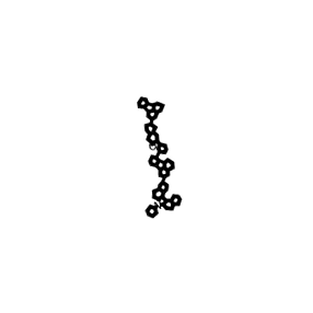 c1ccc(-n2c3ccc4ccccc4c3c3c4ccc(-c5cc6c7c(cccc7c5)-c5c(-c7cccc8c7oc7cc9ccc(-c%10cc%11c%12c(cccc%12c%10)-c%10ccccc%10-%11)cc9cc78)cccc5-6)cc4ccc32)cc1